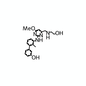 COc1cc(CNCCO)nc(Nc2cccc(-c3cccc(O)c3)c2C)n1